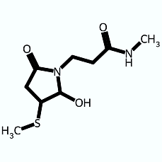 CNC(=O)CCN1C(=O)CC(SC)C1O